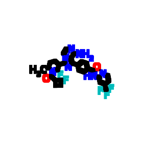 CC1CCC(c2nc(-c3ccc(C(=O)Nc4cc(C(F)(F)F)ccn4)cc3)c3c(N)nccn23)CN1C(=O)C1CCC1(F)F